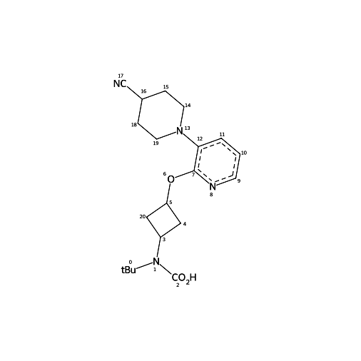 CC(C)(C)N(C(=O)O)C1CC(Oc2ncccc2N2CCC(C#N)CC2)C1